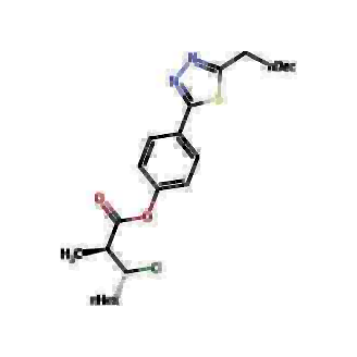 CCCCCCCCCCCc1nnc(-c2ccc(OC(=O)[C@H](C)[C@H](Cl)CCCCCC)cc2)s1